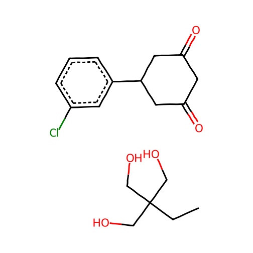 CCC(CO)(CO)CO.O=C1CC(=O)CC(c2cccc(Cl)c2)C1